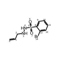 C=CCNNS(=O)(=O)c1ccccc1Br